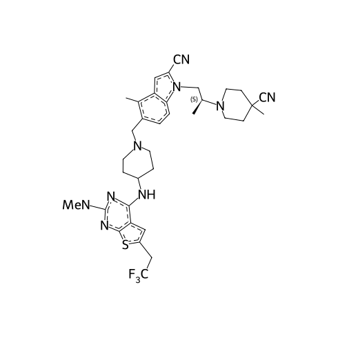 CNc1nc(NC2CCN(Cc3ccc4c(cc(C#N)n4C[C@H](C)N4CCC(C)(C#N)CC4)c3C)CC2)c2cc(CC(F)(F)F)sc2n1